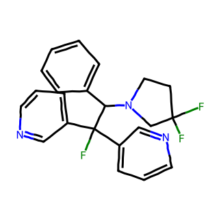 FC1(F)CCN(C(c2ccccc2)C(F)(c2cccnc2)c2cccnc2)C1